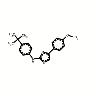 COc1ccc(-c2csc(Nc3ccc(C(C)(C)C)cc3)n2)cc1